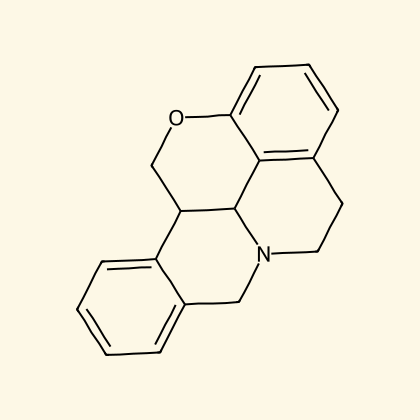 c1ccc2c(c1)CN1CCc3cccc4c3C1C2CO4